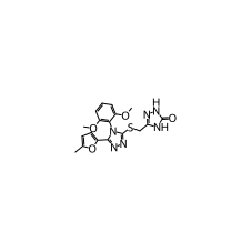 COc1cccc(OC)c1-n1c(SCc2n[nH]c(=O)[nH]2)nnc1-c1ccc(C)o1